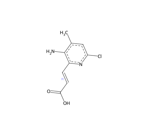 Cc1cc(Cl)nc(/C=C/C(=O)O)c1N